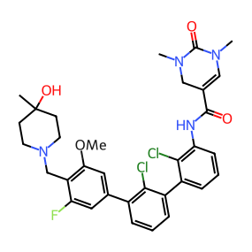 COc1cc(-c2cccc(-c3cccc(NC(=O)C4=CN(C)C(=O)N(C)C4)c3Cl)c2Cl)cc(F)c1CN1CCC(C)(O)CC1